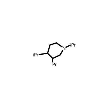 CC(C)C1CCN(C(C)C)CC1C(C)C